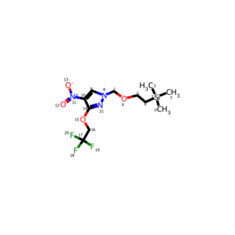 C[Si](C)(C)CCOCn1cc([N+](=O)[O-])c(OCC(F)(F)F)n1